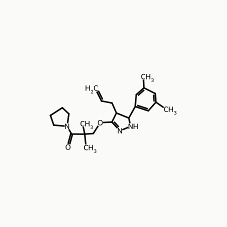 C=CCC1C(OCC(C)(C)C(=O)N2CCCC2)=NNC1c1cc(C)cc(C)c1